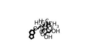 CC(C)N(CCOc1ccc2c(c1)CCC2)C(=O)N(CCN(C)C)/C(=C\C(=O)O)C(=O)O